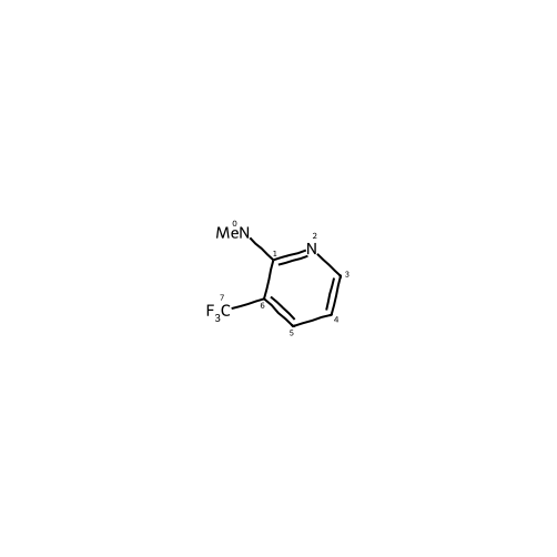 CNc1ncccc1C(F)(F)F